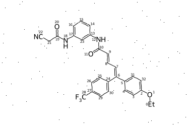 CCOc1ccc(/C(=C/C=C/C(=O)Nc2cccc(NC(=O)CC#N)c2)c2ccc(C(F)(F)F)cc2)cc1